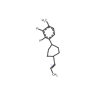 C/C=C/C1CCC(c2ccc(C)c(F)c2F)CC1